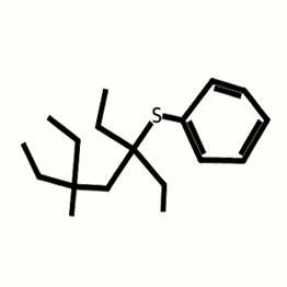 CCC(C)(CC)CC(CC)(CC)Sc1ccccc1